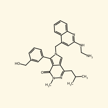 CC(C)Cc1nn(C)c(=O)c2c(-c3cccc(CO)c3)n(Cc3cc(NCN)nc4ccccc34)cc12